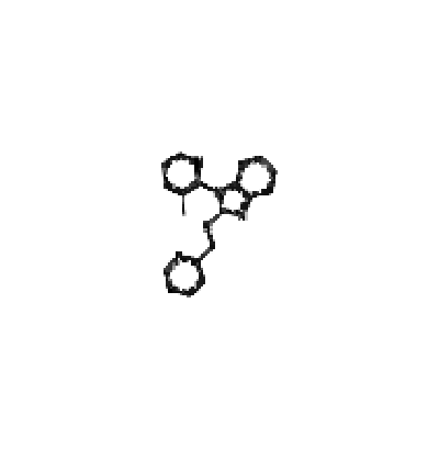 Cc1cccnc1-n1c(SCc2ccccn2)nc2ccccc21